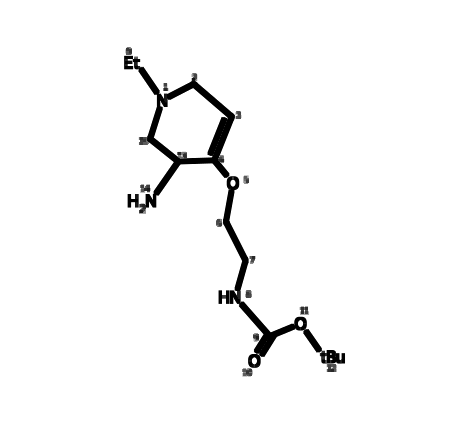 CCN1CC=C(OCCNC(=O)OC(C)(C)C)C(N)C1